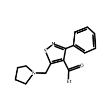 CCC(=O)c1c(-c2ccccc2)nsc1CN1CCCC1